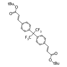 CC(C)(C)OC(=O)/C=C/c1ccc(C(c2ccc(/C=C/C(=O)OC(C)(C)C)cc2)(C(F)(F)F)C(F)(F)F)cc1